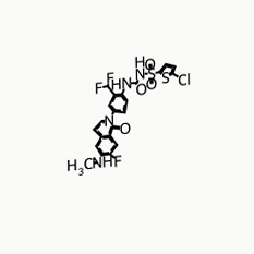 CNc1cc2ccn(-c3ccc(NC(=O)NS(=O)(=O)c4ccc(Cl)s4)c(C(F)F)c3)c(=O)c2cc1F